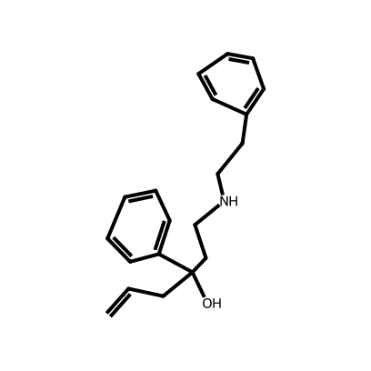 C=CCC(O)(CCNCCc1ccccc1)c1ccccc1